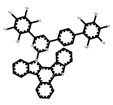 [2H]c1c([2H])c([2H])c(-c2ccc(-c3cc(-c4c([2H])c([2H])c([2H])c([2H])c4[2H])nc(-n4c5ccccc5c5c6ccccc6c6sc7ccccc7c6c54)n3)cc2)c([2H])c1[2H]